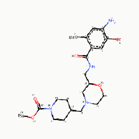 COc1cc(N)c(Br)cc1C(=O)NCC1CN(CC2CCN(C(=O)OC(C)(C)C)CC2)CCO1